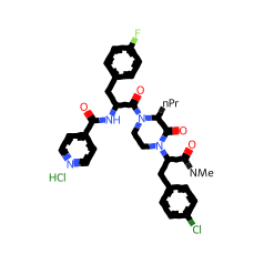 CCCC1C(=O)N(C(Cc2ccc(Cl)cc2)C(=O)NC)CCN1C(=O)C(Cc1ccc(F)cc1)NC(=O)c1ccncc1.Cl